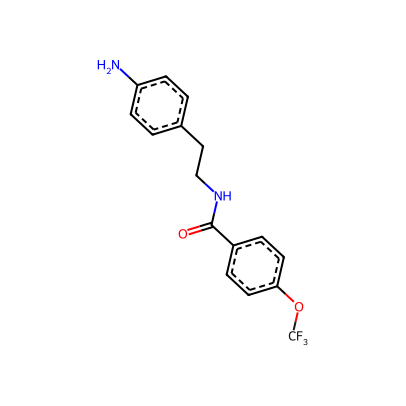 Nc1ccc(CCNC(=O)c2ccc(OC(F)(F)F)cc2)cc1